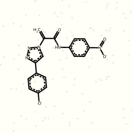 C=C(C(=O)Nc1ccc([N+](=O)[O-])cc1)n1cc(-c2ccc(Cl)cc2)nn1